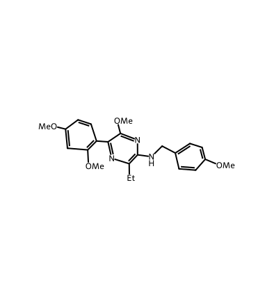 CCc1nc(-c2ccc(OC)cc2OC)c(OC)nc1NCc1ccc(OC)cc1